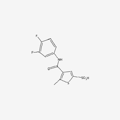 Cc1sc(S(=O)(=O)O)cc1C(=O)Nc1ccc(F)c(F)c1